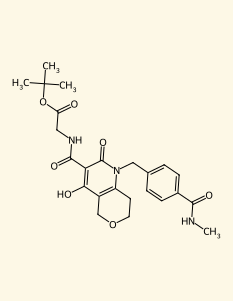 CNC(=O)c1ccc(Cn2c3c(c(O)c(C(=O)NCC(=O)OC(C)(C)C)c2=O)COCC3)cc1